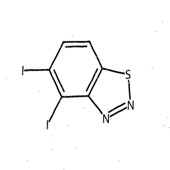 Ic1ccc2snnc2c1I